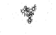 Cc1ccccc1-n1nc(-c2c(-c3ccc(F)cc3)nn3c2NCC(N2CCOCC2)C3)ccc1=O